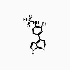 CCc1cc(-c2ccnc3[nH]ccc23)ccc1NS(=O)(=O)CC